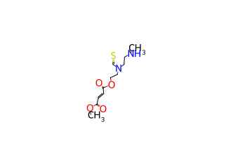 CNCCN(C=S)CCOC(=O)/C=C/C(=O)OC